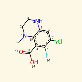 CN1CCNc2cc(Cl)c(F)c(C(=O)O)c21